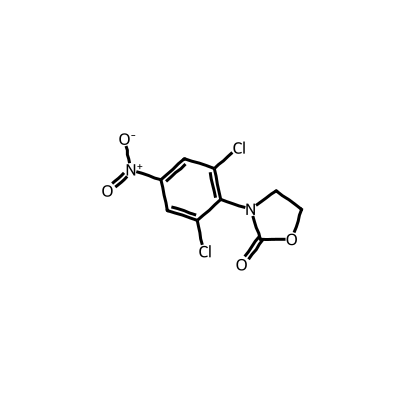 O=C1OCCN1c1c(Cl)cc([N+](=O)[O-])cc1Cl